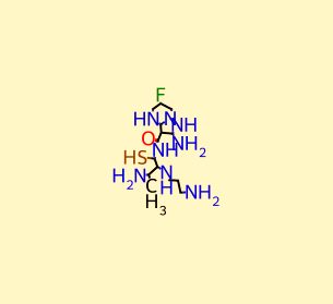 CC(N)C(NCCCN)C(S)NC(=O)C1C(N)NN2CC(F)CNC12